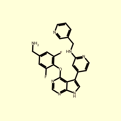 NCc1cc(F)c(Oc2ncnc3[nH]cc(-c4ccnc(NCc5cccnc5)c4)c23)c(F)c1